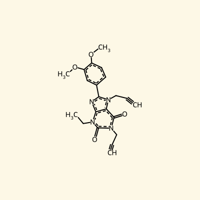 C#CCn1c(=O)c2c(nc(-c3ccc(OC)c(OC)c3)n2CC#C)n(CC)c1=O